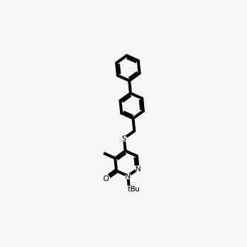 Cc1c(SCc2ccc(-c3ccccc3)cc2)cnn(C(C)(C)C)c1=O